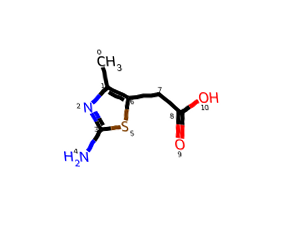 Cc1nc(N)sc1CC(=O)O